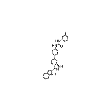 Cc1cccc(NC(=O)Nc2ccc(-c3ccc4c(-c5cc6ccccc6[nH]5)n[nH]c4c3)cc2)c1